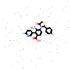 Cc1c(N2C(=O)CSC2c2ccc(F)cc2)ccc(C(=O)O)c1-c1ccc(F)nc1